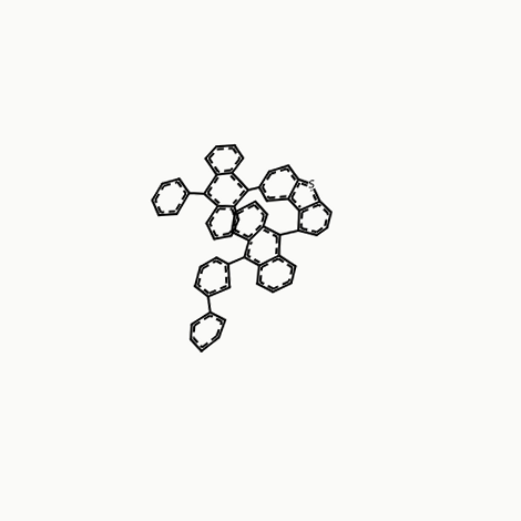 c1ccc(-c2cccc(-c3c4ccccc4c(-c4cccc5sc6ccc(-c7c8ccccc8c(-c8ccccc8)c8ccccc78)cc6c45)c4ccccc34)c2)cc1